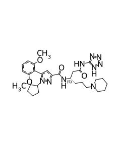 COc1cccc(OC)c1-c1cc(C(=O)N[C@@H](CCCN2CCCCC2)CC(=O)Nc2nnn[nH]2)nn1C1CCCC1